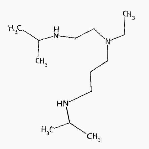 CCN(CCCNC(C)C)CCNC(C)C